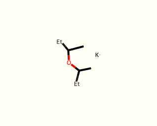 CCC(C)OC(C)CC.[K]